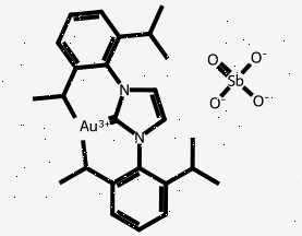 CC(C)c1cccc(C(C)C)c1-n1ccn(-c2c(C(C)C)cccc2C(C)C)[c]1=[Au+3].[O]=[Sb]([O-])([O-])[O-]